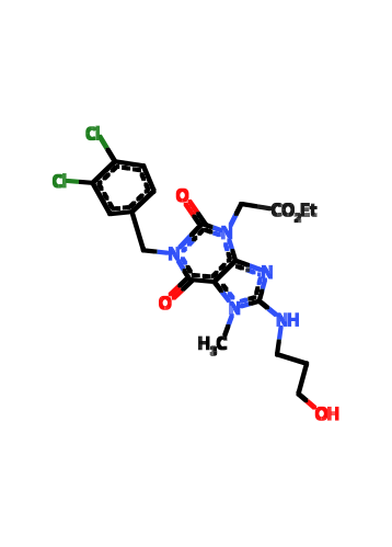 CCOC(=O)Cn1c(=O)n(Cc2ccc(Cl)c(Cl)c2)c(=O)c2c1nc(NCCCO)n2C